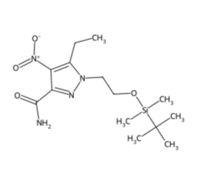 CCc1c([N+](=O)[O-])c(C(N)=O)nn1CCO[Si](C)(C)C(C)(C)C